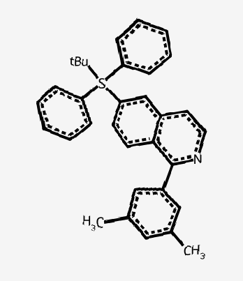 Cc1cc(C)cc(-c2nccc3cc(S(c4ccccc4)(c4ccccc4)C(C)(C)C)ccc23)c1